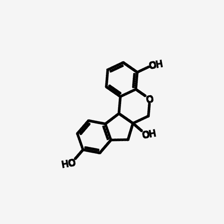 Oc1ccc2c(c1)CC1(O)COc3c(O)cccc3C21